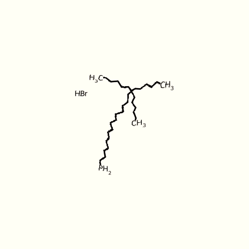 Br.CCCCCCC(CCCCCC)(CCCCCC)CCCCCCCCCCCCCCCP